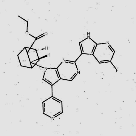 CCOC(=O)[C@@H]1C2CCC(CC2)[C@H]1n1cc(-c2ccncc2)c2cnc(-c3c[nH]c4ncc(F)cc34)nc21